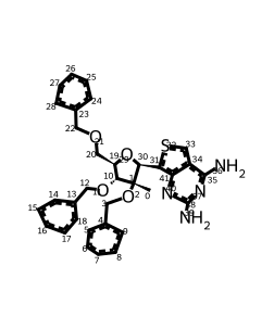 C[C@@]1(OCc2ccccc2)[C@H](OCc2ccccc2)[C@@H](COCc2ccccc2)O[C@H]1c1scc2c(N)nc(N)nc12